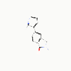 CC(C)c1ncccc1-c1ccc2c(c1)CN(C)C2=O